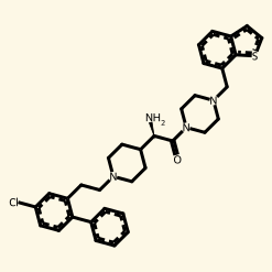 N[C@@H](C(=O)N1CCN(Cc2cccc3ccsc23)CC1)C1CCN(CCc2cc(Cl)ccc2-c2ccccc2)CC1